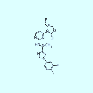 C[C@H](Nc1nccc(N2C(=O)OC[C@@H]2CF)n1)c1cn(-c2ccc(F)c(F)c2)cn1